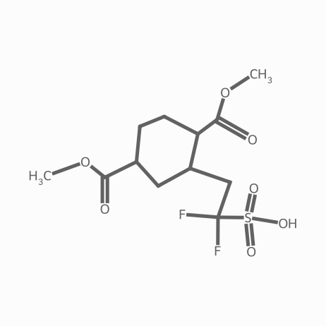 COC(=O)C1CCC(C(=O)OC)C(CC(F)(F)S(=O)(=O)O)C1